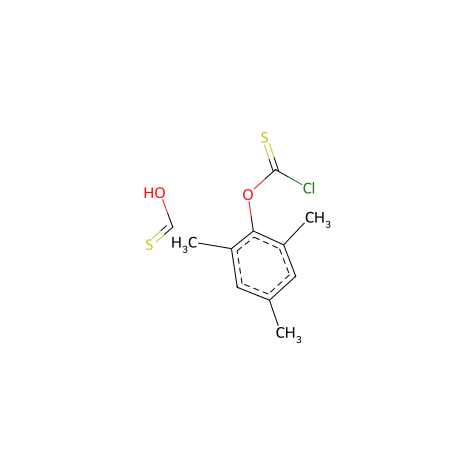 Cc1cc(C)c(OC(=S)Cl)c(C)c1.OC=S